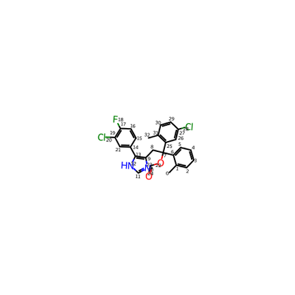 Cc1ccccc1C(Cc1nc[nH]c1-c1ccc(F)c(Cl)c1)(OC=O)c1cc(Cl)ccc1C